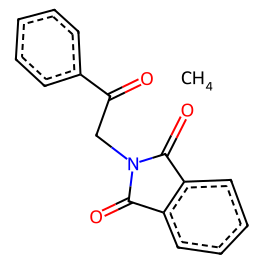 C.O=C(CN1C(=O)c2ccccc2C1=O)c1ccccc1